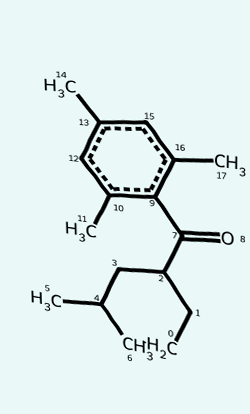 [CH2]CC(CC(C)C)C(=O)c1c(C)cc(C)cc1C